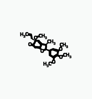 C=CC[C@]1(OC)C=C2C(=CC1=O)O[C@H](c1cc(OC)c(OC)c(OC)c1)[C@H]2C